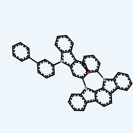 c1ccc(-c2cccc(-n3c4ccccc4c4ccc(-n5c6ccccc6c6ccc7c8ccccc8n(-c8ccccc8)c7c65)cc43)c2)cc1